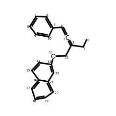 CCC(=C=Cc1ccccc1)COc1ccc2ccccc2c1